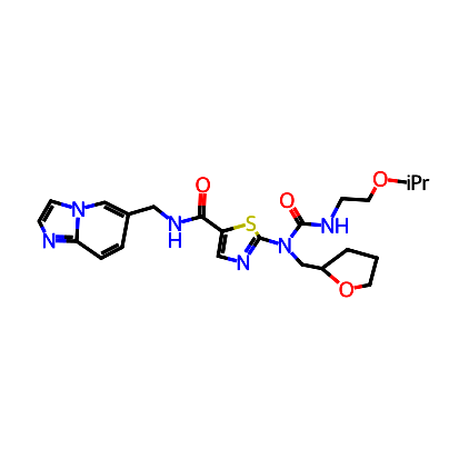 CC(C)OCCNC(=O)N(CC1CCCO1)c1ncc(C(=O)NCc2ccc3nccn3c2)s1